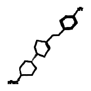 CCCCC[C@H]1CC[C@H](C2CC=C(CCc3ccc(CCC)cc3)CC2)CC1